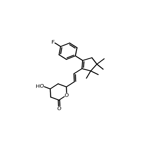 CC1(C)CC(c2ccc(F)cc2)=C(C=CC2CC(O)CC(=O)O2)C1(C)C